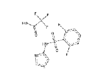 O=C(O)C(F)(F)F.O=S(=O)(Nc1cscn1)c1c(F)cccc1F